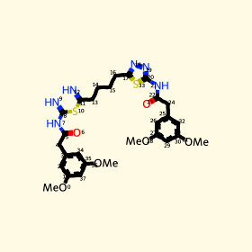 COc1cc(CC(=O)NC(=N)SC(=N)CCCCc2nnc(NC(=O)Cc3cc(OC)cc(OC)c3)s2)cc(OC)c1